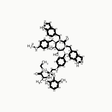 CCOC(=O)[C@H](C)NP(=O)(COc1ccc(C[C@@H]2[C@H](O)[C@@H](O)[C@@H](Cc3ccc(OC)cc3)N(Cc3ccc4[nH]ncc4c3)C(=O)N2Cc2ccc3[nH]ncc3c2)cc1)Oc1c(C)cccc1C